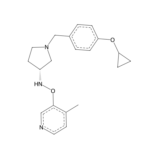 Cc1ccncc1ON[C@@H]1CCN(Cc2ccc(OC3CC3)cc2)C1